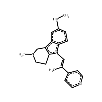 CNc1ccc2c(c1)c1c(n2/C=C(\C)c2ccncc2)CCN(C)C1